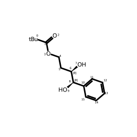 CC(C)(C)C(=O)OCC[C@@H](O)[C@H](O)c1ccccc1